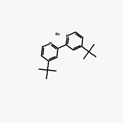 CC(C)(C)c1ccnc(-c2cc(C(C)(C)C)ccn2)c1.[Ru]